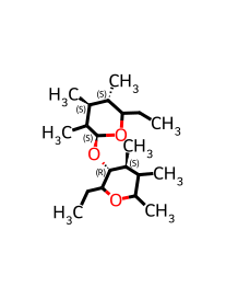 CCC1O[C@@H](O[C@H]2C(CC)OC(C)C(C)[C@@H]2C)C(C)[C@@H](C)[C@@H]1C